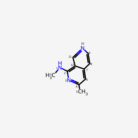 CNc1nc(C)cc2ccncc12